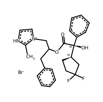 Cc1[nH]cc[n+]1CC(Cc1ccccc1)OC(=O)[C@](O)(c1ccccc1)[C@@H]1CCC(F)(F)C1.[Br-]